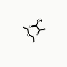 CCOCC.O=C(O)C(F)F